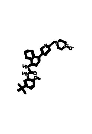 COc1ccc(C(C)(C)C)cc1NC(=O)Nc1ccc(-c2ccc(CN3CC[S+]([O-])CC3)nc2)c2ccccc12